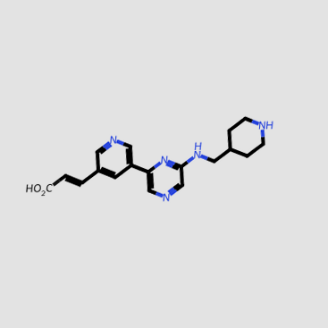 O=C(O)/C=C/c1cncc(-c2cncc(NCC3CCNCC3)n2)c1